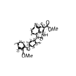 COC(=O)c1sc2nccc3c2c1NC(=O)N3c1ccc(Oc2ccccc2OC)cc1C